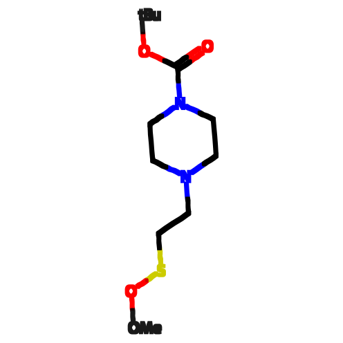 COOSCCN1CCN(C(=O)OC(C)(C)C)CC1